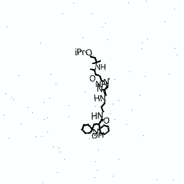 CC(C)OCCC(C)(C)NC(C)C(=O)CCN(C)C/C(=C/NCCCNC(=O)C1CC2(CCCCC2)N(O)C12CCCCC2)N=N